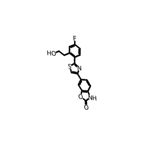 O=c1[nH]c2ccc(-c3csc(-c4ccc(F)cc4CCO)n3)cc2o1